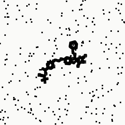 CC(OC(=O)C(C)(C)C)c1ccc(CCOc2ccc(C[C@@]3(C(=O)OCc4ccccc4)SC(=O)NC3=O)cc2)nc1